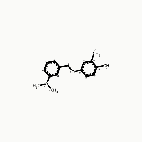 CB(C)c1cccc(COc2ccc(O)c(C)c2)c1